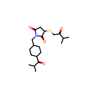 CC(C)C(=O)CSC1CC(=O)N(CC2CCC(C(=O)C(C)C)CC2)C1=O